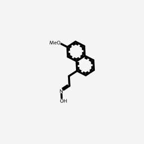 COc1ccc2cccc(CC=NO)c2c1